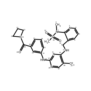 CN(c1ncccc1CNc1nc(Nc2cccc(C(=O)N3CCC3)c2)ncc1C(F)(F)F)S(C)(=O)=O